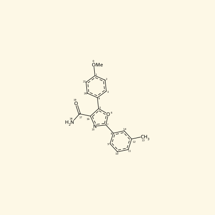 COc1ccc(-c2oc(-c3cccc(C)c3)nc2C(N)=O)cc1